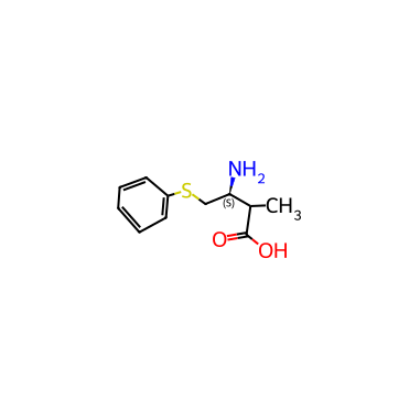 CC(C(=O)O)[C@H](N)CSc1ccccc1